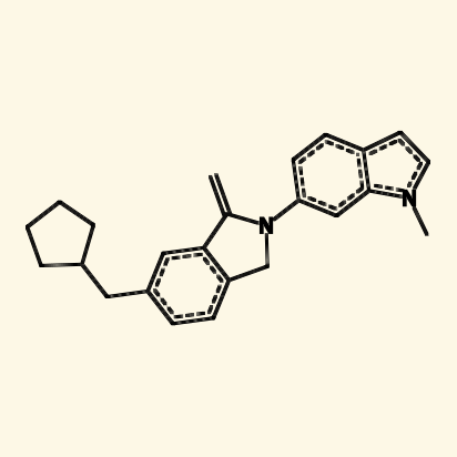 C=C1c2cc(CC3CCCC3)ccc2CN1c1ccc2ccn(C)c2c1